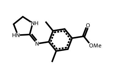 COC(=O)c1cc(C)c(N=C2NCCN2)c(C)c1